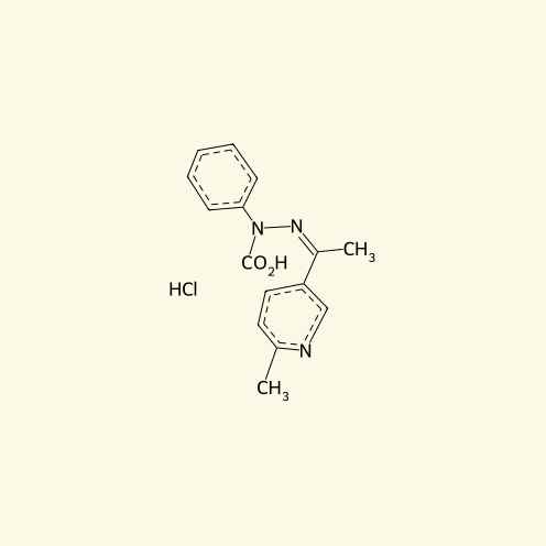 CC(=NN(C(=O)O)c1ccccc1)c1ccc(C)nc1.Cl